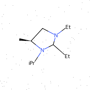 CCC1N(CC)C[C@H](C)N1C(C)C